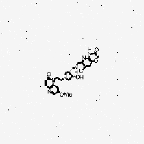 COc1cnc2ccc(=O)n(CCN3C[C@H](CNCc4nc5c(cc4Cl)OCC(=O)N5)[C@H](O)C3)c2c1